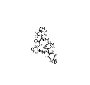 CN1CCC(NC(=O)CC2COCCN2c2nn(-c3ccc(Cl)cc3)c3cnccc23)CC1